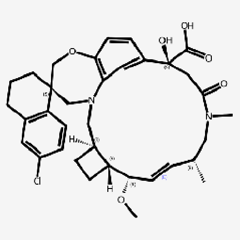 CO[C@H]1/C=C/[C@@H](C)CN(C)C(=O)C[C@@](O)(C(=O)O)c2ccc3c(c2)N(C[C@@H]2CC[C@H]21)C[C@@]1(CCCc2cc(Cl)ccc21)CO3